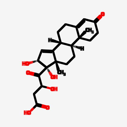 C[C@]12CCC(=O)C=C1CC[C@H]1C3=C[C@@H](O)[C@](O)(C(=O)C(O)CC(=O)O)[C@@]3(C)CC[C@@H]12